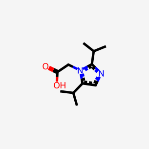 CC(C)c1cnc(C(C)C)n1CC(=O)O